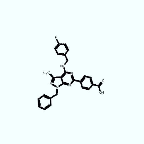 Cc1nn(Cc2ccccc2)c2nc(-c3ccc(C(=O)O)cc3)nc(NCc3ccc(F)cc3)c12